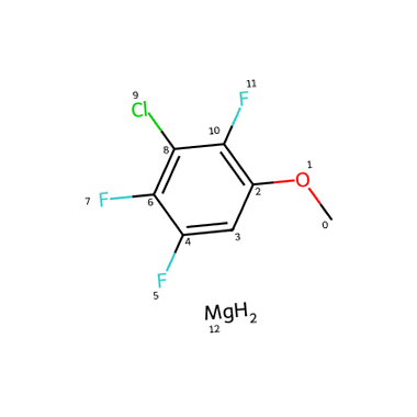 COc1cc(F)c(F)c(Cl)c1F.[MgH2]